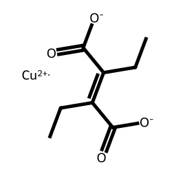 CCC(C(=O)[O-])=C(CC)C(=O)[O-].[Cu+2]